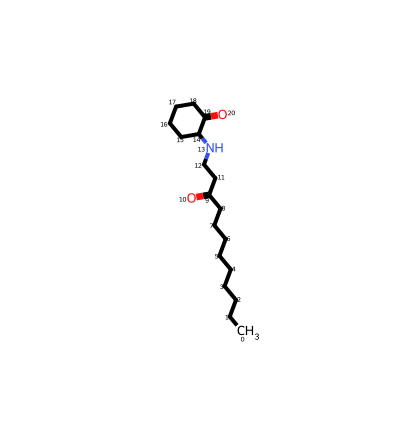 CCCCCCCCCC(=O)CCNC1CCCCC1=O